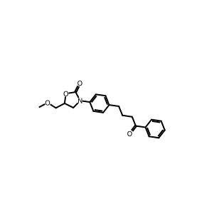 COCC1CN(c2ccc(CCCC(=O)c3ccccc3)cc2)C(=O)O1